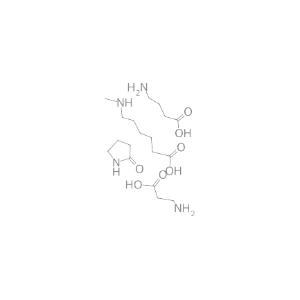 CNCCCCCC(=O)O.NCCC(=O)O.NCCCC(=O)O.O=C1CCCN1